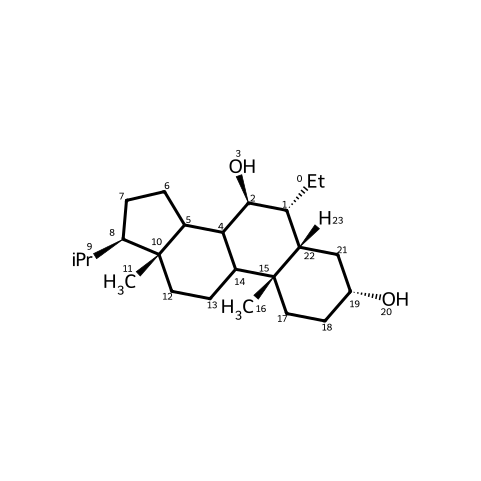 CC[C@H]1[C@H](O)C2C3CC[C@H](C(C)C)[C@@]3(C)CCC2[C@@]2(C)CC[C@@H](O)C[C@@H]12